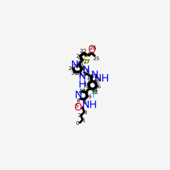 CCCCC(=O)Nc1cncc(-c2cc3c(-c4nc5c(-c6ccc(C(C)=O)s6)nccc5[nH]4)n[nH]c3cc2F)c1